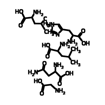 CC(C)CC(N)C(=O)O.CC(C)CC(N)C(=O)O.NC(=O)CC(N)C(=O)O.NC(Cc1c[nH]cn1)C(=O)O.NCC(=O)O